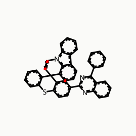 c1ccc(-c2nc(-c3ccc4c(c3)C3(c5ccccc5S4)c4ccccc4-n4c5ccccc5c5cccc3c54)nc3ccccc23)cc1